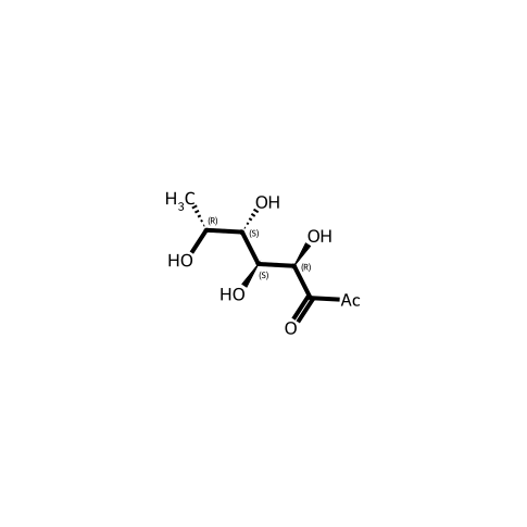 CC(=O)C(=O)[C@H](O)[C@@H](O)[C@@H](O)[C@@H](C)O